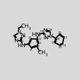 CCn1cnc(Nc2cc(C)cc(Nc3ncn(-c4ccccc4)n3)c2)n1